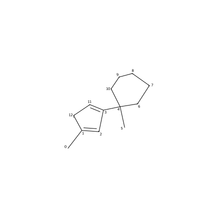 CC1=CC(C2(C)CCCCC2)=C[CH]1